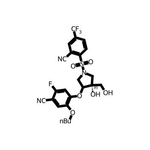 CCCCOc1cc(C#N)c(F)cc1OC1CN(S(=O)(=O)c2ccc(C(F)(F)F)cc2C#N)C[C@@]1(O)CO